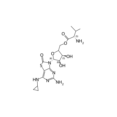 CC(C)[C@H](N)C(=O)OCC1O[C@@H](n2c(=O)sc3c(NC4CC4)nc(N)nc32)[C@H](O)[C@@H]1O